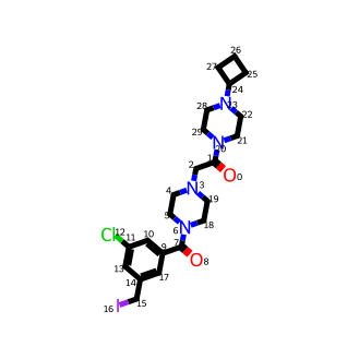 O=C(CN1CCN(C(=O)c2cc(Cl)cc(CI)c2)CC1)N1CCN(C2CCC2)CC1